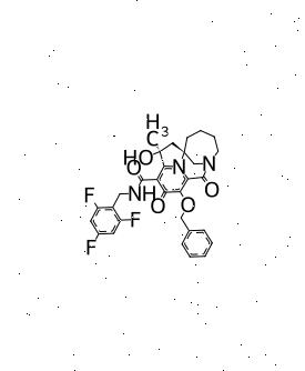 C[C@]1(O)C[C@@]23CCCCN(C2)C(=O)c2c(OCc4ccccc4)c(=O)c(C(=O)NCc4c(F)cc(F)cc4F)c1n23